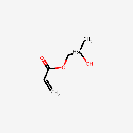 C=CC(=O)OC[SiH](C)O